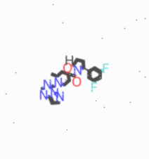 CC1CC2(CCN1c1ncnc3ccnn13)O[C@@H]1CC[C@@H](c3cc(F)cc(F)c3)N1C2=O